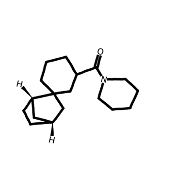 O=C(C1CCCC2(C1)C[C@@H]1CC[C@H]2C1)N1CCCCC1